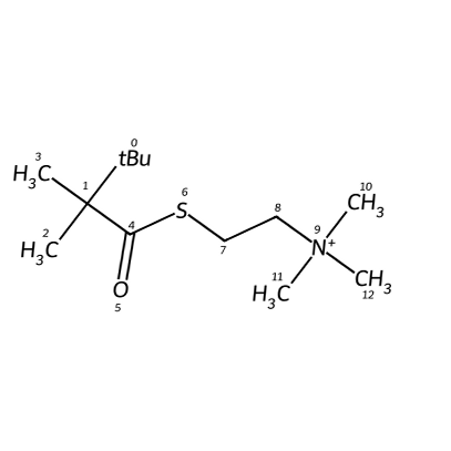 CC(C)(C)C(C)(C)C(=O)SCC[N+](C)(C)C